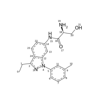 CCc1nn(-c2cccc(C)c2)c2cc(NC(=O)[C@@H](N)CO)ccc12